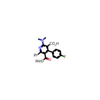 COC(=O)c1c(C(C)C)nc(N(C)C)c(C(=O)O)c1-c1ccc(F)cc1